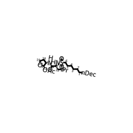 CCCCCCCCCCCCCCCCS(=O)(=O)N[C@@H](CC(C)C)C(=O)N[C@H]1CCO[C@H]1OC(C)=O